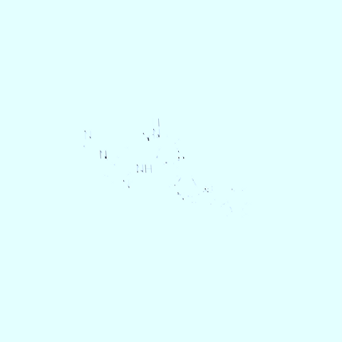 CN1CCN(c2ccnc3[nH]c(-c4n[nH]c5cnc(-c6cncc(OCc7ccccc7)c6)cc45)cc23)CC1